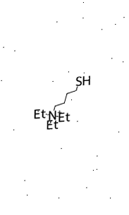 CC[N+](CC)(CC)CCCCS